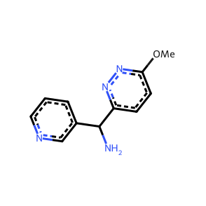 COc1ccc(C(N)c2cccnc2)nn1